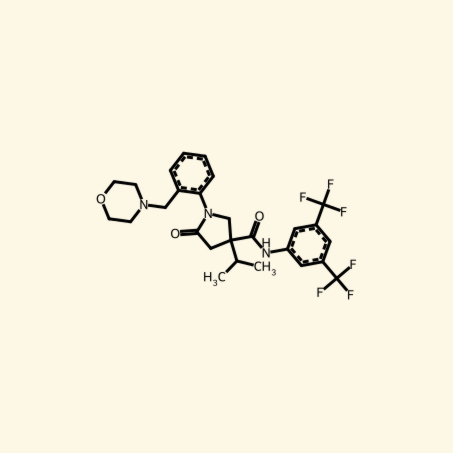 CC(C)C1(C(=O)Nc2cc(C(F)(F)F)cc(C(F)(F)F)c2)CC(=O)N(c2ccccc2CN2CCOCC2)C1